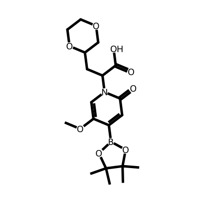 COc1cn(C(CC2COCCO2)C(=O)O)c(=O)cc1B1OC(C)(C)C(C)(C)O1